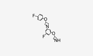 Fc1ccc(OC2CN(c3cc(F)cc(OC4CNC4)c3)C2)cc1